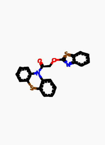 O=C(COc1nc2ccccc2s1)N1c2ccccc2Sc2ccccc21